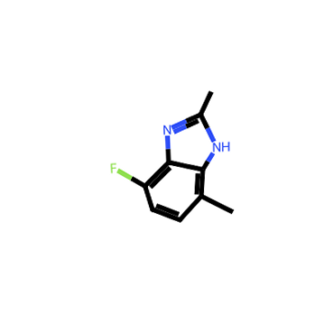 Cc1nc2c(F)ccc(C)c2[nH]1